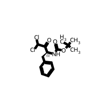 CC(C)(C)OC(=O)N[C@@H](Cc1ccccc1)C(=O)C(Cl)Cl